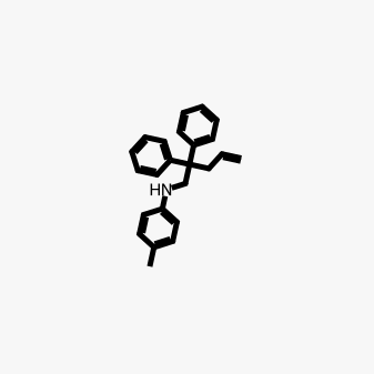 C=CCC(CNc1ccc(C)cc1)(c1ccccc1)c1ccccc1